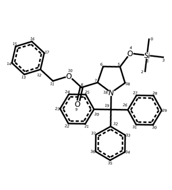 C[Si](C)(C)OC1CC(C(=O)OCc2ccccc2)N(C(c2ccccc2)(c2ccccc2)c2ccccc2)C1